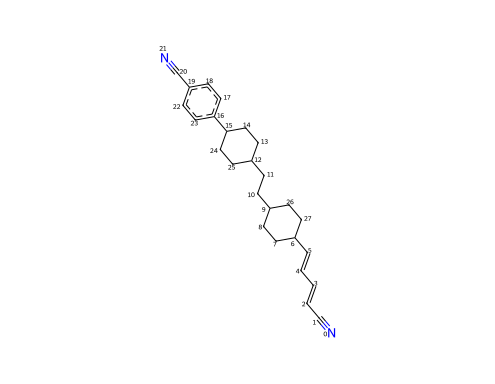 N#CC=CC=CC1CCC(CCC2CCC(c3ccc(C#N)cc3)CC2)CC1